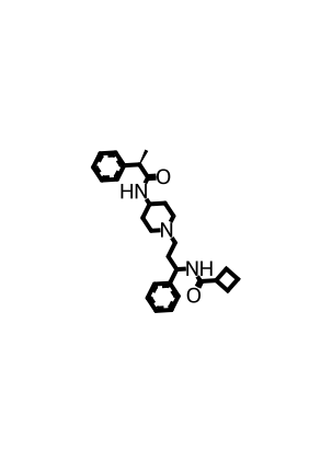 C[C@@H](C(=O)NC1CCN(CCC(NC(=O)C2CCC2)c2ccccc2)CC1)c1ccccc1